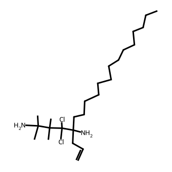 C=CCC(N)(CCCCCCCCCCCCCC)C(Cl)(Cl)C(C)(C)C(C)(C)N